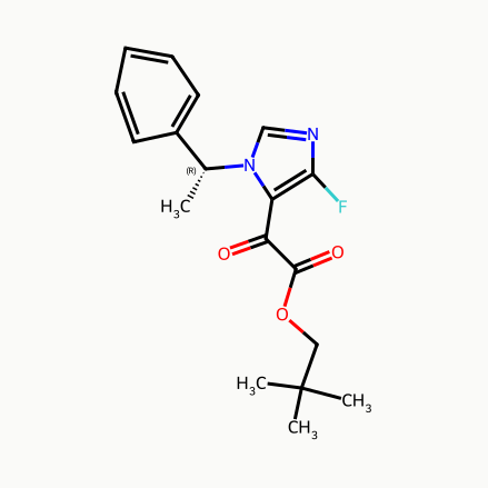 C[C@H](c1ccccc1)n1cnc(F)c1C(=O)C(=O)OCC(C)(C)C